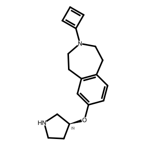 C1=CC(N2CCc3ccc(O[C@H]4CCNC4)cc3CC2)=C1